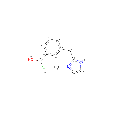 Cn1ccnc1Cc1cccc(C(O)Cl)c1